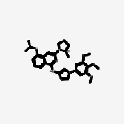 COc1cc(-n2cnc(Nc3nc(N4CCC[C@H]4C)nc4c(OC(C)C)cccc34)c2)cc(OC)c1OC